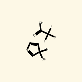 O=C(O)C(F)(F)F.[2H]C1(O)C=CN=C1